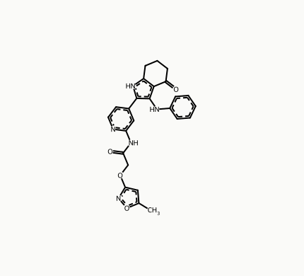 Cc1cc(OCC(=O)Nc2cc(-c3[nH]c4c(c3Nc3ccccc3)C(=O)CCC4)ccn2)no1